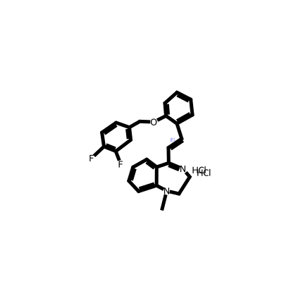 CN1CCN=C(/C=C/c2ccccc2OCc2ccc(F)c(F)c2)c2ccccc21.Cl.Cl